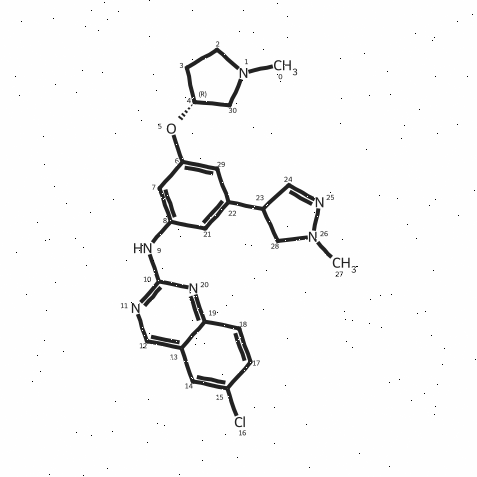 CN1CC[C@@H](Oc2cc(Nc3ncc4cc(Cl)ccc4n3)cc(C3C=NN(C)C3)c2)C1